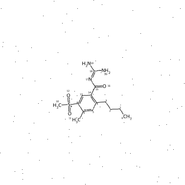 CCCCc1cc(C)c(S(C)(=O)=O)cc1C(=O)N=C(N)N